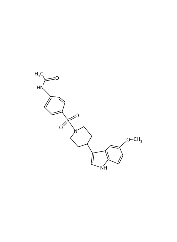 COc1ccc2[nH]cc(C3CCN(S(=O)(=O)c4ccc(NC(C)=O)cc4)CC3)c2c1